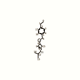 CCc1ccc(COC2CN(CC(C)C)C2)cc1